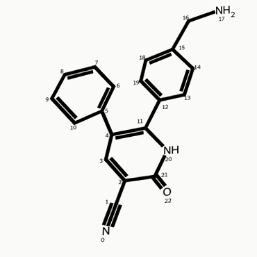 N#Cc1cc(-c2ccccc2)c(-c2ccc(CN)cc2)[nH]c1=O